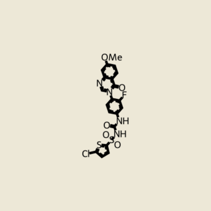 COc1ccc2c(=O)n(-c3ccc(NC(=O)NS(=O)(=O)c4ccc(Cl)s4)cc3F)cnc2c1